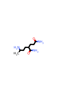 [CH2]C(N)CCC(CCC(N)=O)C(N)=O